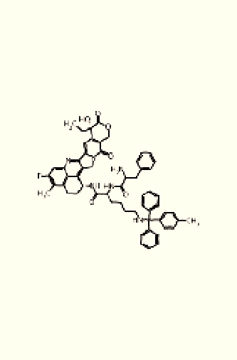 CC[C@@]1(O)C(=O)OCc2c1cc1n(c2=O)Cc2c-1nc1cc(F)c(C)c3c1c2[C@@H](NC(=O)[C@H](CCCCNC(c1ccccc1)(c1ccccc1)c1ccc(C)cc1)NC(=O)[C@@H](N)Cc1ccccc1)CC3